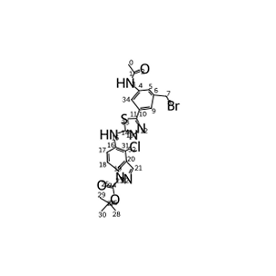 CC(=O)Nc1cc(CBr)cc(-c2nnc(Nc3ccc4c(cnn4C(=O)OC(C)(C)C)c3Cl)s2)c1